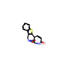 O=C1C=C[C@]23CCN(Cc4c2sc2ccccc42)[C@H]3CN1